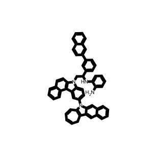 Nc1ccccc1NC(Cn1c2ccc(-n3c4c(c5cc6ccccc6cc53)CC=CC=C4)cc2c2c3ccccc3ccc21)c1cccc(-c2ccc3ccccc3c2)c1